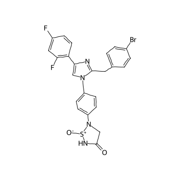 O=C1CN(c2ccc(-n3cc(-c4ccc(F)cc4F)nc3Cc3ccc(Br)cc3)cc2)[S+]([O-])N1